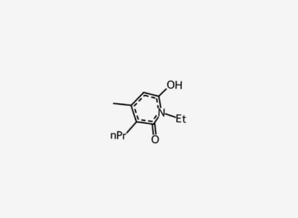 CCCc1c(C)cc(O)n(CC)c1=O